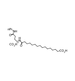 CCCNC(=O)CC[C@H](NC(=O)CCCCCCCCCCCCCCC(=O)O)C(=O)O